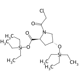 CC[Si](CC)(CC)OC(=O)[C@@H]1C[C@@H](O[Si](CC)(CC)CC)CN1C(=O)CCl